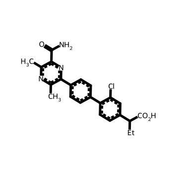 CCC(C(=O)O)c1ccc(-c2ccc(-c3nc(C(N)=O)c(C)nc3C)cc2)c(Cl)c1